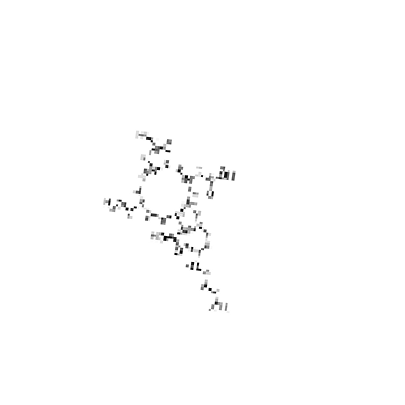 CCCCOc1ccc(C[C@H]2CN(CC(=O)O)CCN(CC(=O)O)CCN(CC)CCN2CC(=O)O)cc1